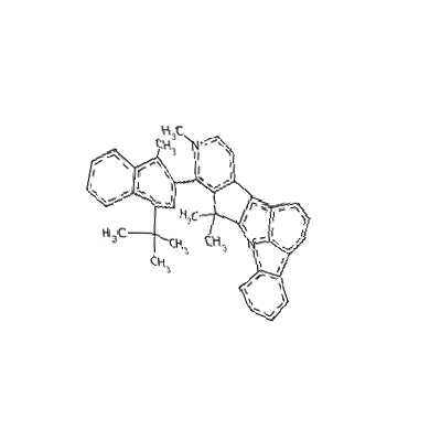 Cc1c(-c2c3c(cc[n+]2C)-c2c(n4c5ccccc5c5cccc2c54)C3(C)C)cc(C(C)(C)C)c2ccccc12